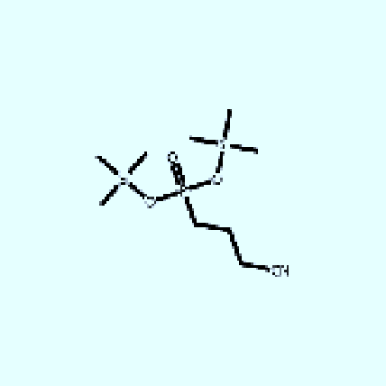 C[Si](C)(C)OP(=O)(CCCC#N)O[Si](C)(C)C